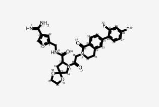 N=C(N)c1csc(CNC(=O)C2CC3(CN2C(=O)CN2CCc4cc(-c5ccc(F)cc5F)ccc4C2=O)OCCO3)c1